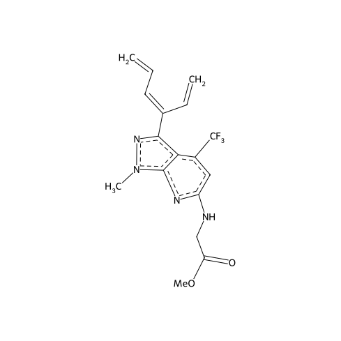 C=C/C=C(\C=C)c1nn(C)c2nc(NCC(=O)OC)cc(C(F)(F)F)c12